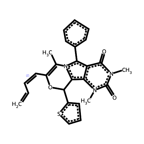 C=C/C=C\C1=C(C)n2c(-c3ccccc3)c3c(=O)n(C)c(=O)n(C)c3c2C(c2cccs2)O1